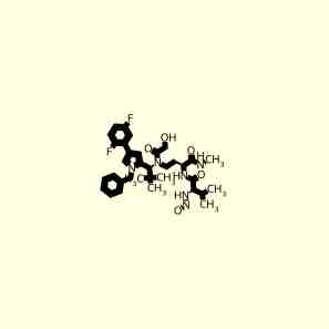 CNC(=O)[C@H](CCN(C(=O)CO)[C@@H](c1cc(-c2cc(F)ccc2F)cn1Cc1ccccc1)C(C)(C)C)NC(=O)[C@@H](NN=O)C(C)C